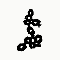 Fc1ccc2c(c1)c1c(-c3ccc(N(c4ccc(-c5ccccc5)cc4)c4cccc5sc6ccccc6c45)cc3)ccc3c1n2-c1ccccc1O3